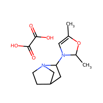 CC1=CN(C2CC3CCN2C3)C(C)O1.O=C(O)C(=O)O